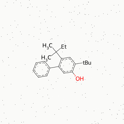 CCC(C)(C)c1cc(C(C)(C)C)c(O)cc1-c1ccccc1